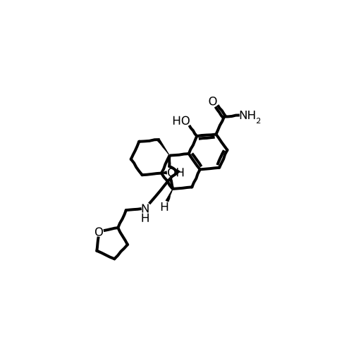 NC(=O)c1ccc2c(c1O)[C@@]13CCCC[C@@]1(O)[C@@H](C2)C(NCC1CCCO1)CC3